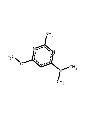 CN(C)c1cc(OC(F)(F)F)nc(N)n1